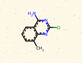 Cc1cccc2c(N)nc(Cl)nc12